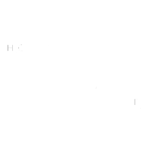 C[C]=CCCCF